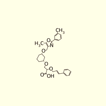 Cc1cccc(-c2nc(CO[C@H]3CCC[C@@H](OCC(OCC=Cc4ccccc4)C(=O)O)C3)c(C)o2)c1